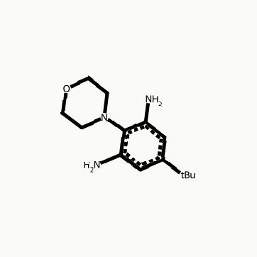 CC(C)(C)c1cc(N)c(N2CCOCC2)c(N)c1